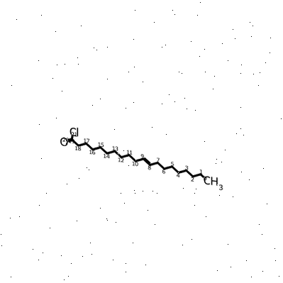 CCCCCCCC/C=C/CCCCCCCCCC(=O)Cl